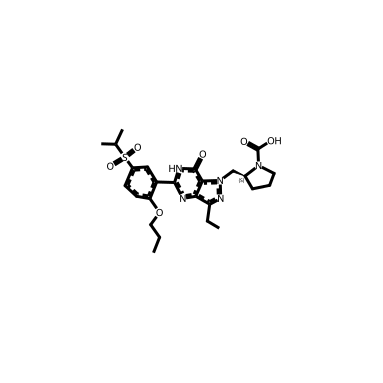 CCCOc1ccc(S(=O)(=O)C(C)C)cc1-c1nc2c(CC)nn(C[C@@H]3CCCN3C(=O)O)c2c(=O)[nH]1